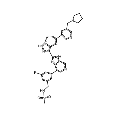 CS(=O)(=O)NCc1cc(F)cc(-c2cncc3[nH]c(-c4n[nH]c5ccc(-c6cncc(CN7CCCC7)c6)nc45)nc23)c1